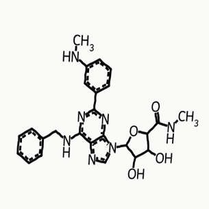 CNC(=O)C1OC(n2cnc3c(NCc4ccccc4)nc(-c4cccc(NC)c4)nc32)C(O)C1O